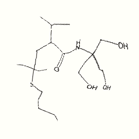 CCCSC(C)(C)CC(C(=O)NC(CO)(CO)CO)C(C)C